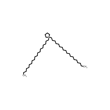 CCCCCCCCCCCCCCCCCCC[N+]1(CCCCCCCCCCCCCCCCCCC)CCCC1